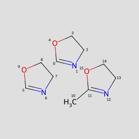 C1=NCCO1.C1=NCCO1.CC1=NCCO1